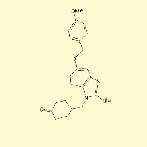 COc1ccc(CSc2ccc3c(c2)nc(C(C)(C)C)n3CC2CCC(=O)CC2)cc1